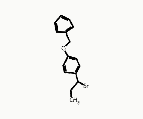 CCC(Br)c1ccc(OCc2ccccc2)cc1